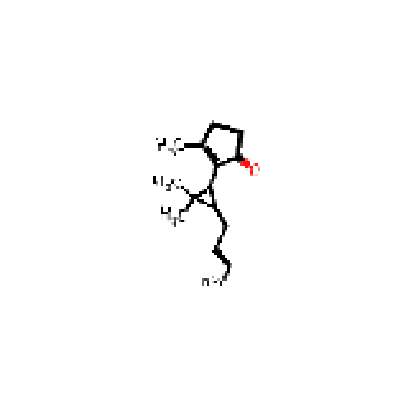 CCCC=CCC1C(C2=C(C)CCC2=O)C1(C)C